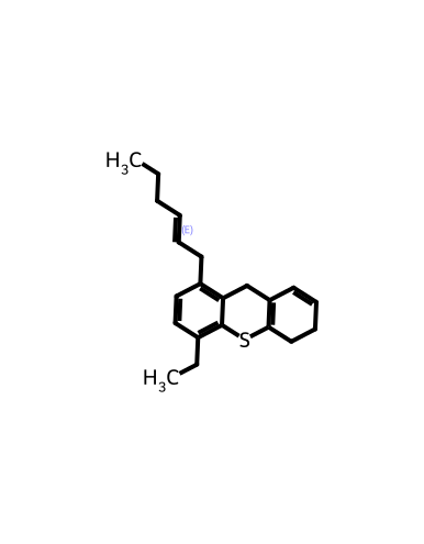 CCC/C=C/Cc1ccc(CC)c2c1CC1=C(CCC=C1)S2